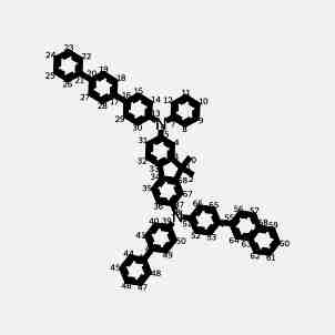 CC1(C)c2cc(N(c3ccccc3)c3ccc(-c4ccc(-c5ccccc5)cc4)cc3)ccc2-c2ccc(N(c3ccc(-c4ccccc4)cc3)c3ccc(-c4ccc5ccccc5c4)cc3)cc21